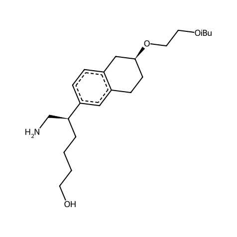 CC(C)COCCO[C@H]1CCc2cc([C@H](CN)CCCCO)ccc2C1